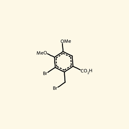 COc1cc(C(=O)O)c(CBr)c(Br)c1OC